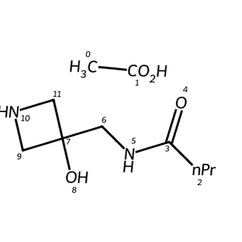 CC(=O)O.CCCC(=O)NCC1(O)CNC1